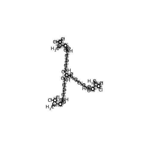 CN1Cc2c(Cl)cc(Cl)cc2C(c2cccc(S(=O)(=O)NCCOCCOCCOCCNC(=O)c3cc(C(=O)NCCOCCOCCOCCNS(=O)(=O)c4cccc(C5CN(C)Cc6c(Cl)cc(Cl)cc65)c4)cc(C(=O)NCCOCCOCCOCCNS(=O)(=O)c4cccc(C5CN(C)Cc6c(Cl)cc(Cl)cc65)c4)c3)c2)C1